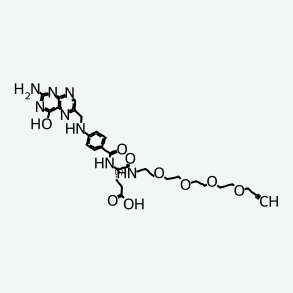 C#CCOCCOCCOCCOCCNC(=O)[C@H](CCC(=O)O)NC(=O)c1ccc(NCc2cnc3nc(N)nc(O)c3n2)cc1